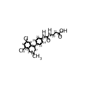 CN1Cc2c(Cl)cc(Cl)cc2[C@@H](c2ccc(NC(=O)NCCC(=O)O)cc2)C1